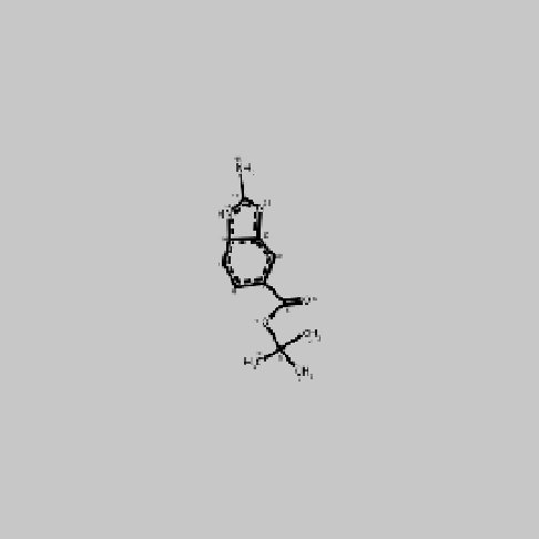 CC(C)(C)OC(=O)c1ccc2[nH]c(N)nc2c1